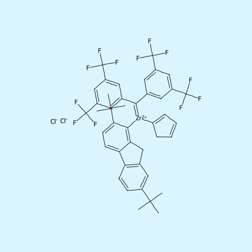 CC(C)(C)c1ccc2c(c1)Cc1c-2ccc(C(C)(C)C)[c]1[Zr+2]([C]1=CC=CC1)=[C](c1cc(C(F)(F)F)cc(C(F)(F)F)c1)c1cc(C(F)(F)F)cc(C(F)(F)F)c1.[Cl-].[Cl-]